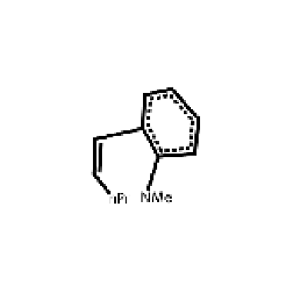 CCC/C=C\c1ccccc1NC